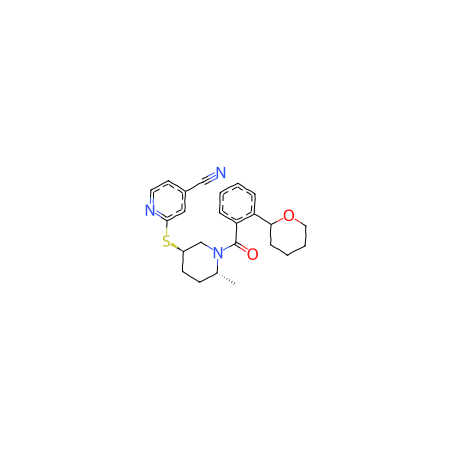 C[C@@H]1CC[C@@H](Sc2cc(C#N)ccn2)CN1C(=O)c1ccccc1C1CCCCO1